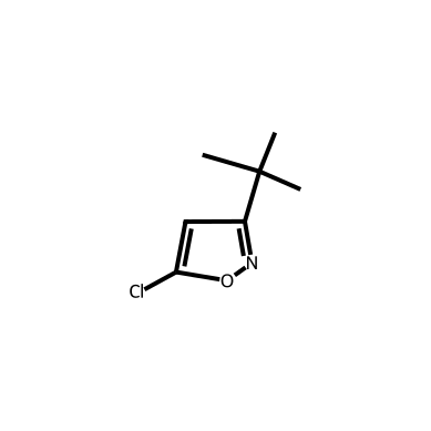 CC(C)(C)c1cc(Cl)on1